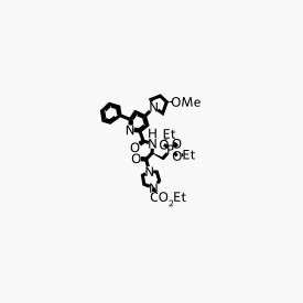 CCOC(=O)N1CCN(C(=O)[C@H](CP(=O)(OCC)OCC)NC(=O)c2cc(N3CC[C@H](OC)C3)cc(-c3ccccc3)n2)CC1